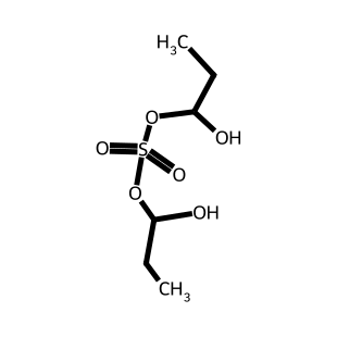 CCC(O)OS(=O)(=O)OC(O)CC